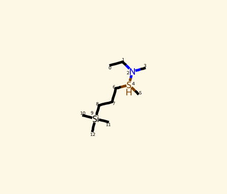 CCN(C)[SH](C)CCC[Si](C)(C)C